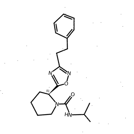 CC(C)NC(=O)N1CCCC[C@H]1c1nc(CCc2ccccc2)no1